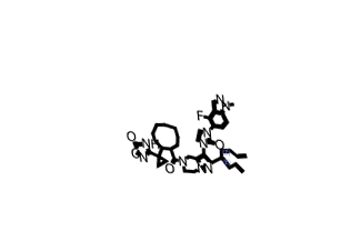 C=C/C=C\C(=C/C=C)c1nn2c(c1-n1ccn(-c3ccc4c(cnn4C)c3F)c1=O)CN(C(=O)C1CCCCCCCC1C1(c3noc(=O)[nH]3)CC1)CC2